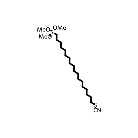 CO[Si](CCCCCCCCCCCCCCCCCCSC#N)(OC)OC